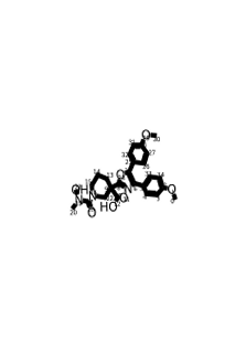 COc1ccc(-c2nc(C3(C(=O)O)CCCN(C(=O)N(C)O)C3)oc2-c2ccc(OC)cc2)cc1